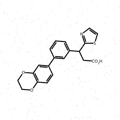 O=C(O)CC(c1cccc(-c2ccc3c(c2)OCCO3)c1)c1nccs1